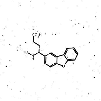 O=C(O)CCC(NO)c1ccc2oc3ccccc3c2c1